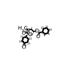 CN(CCOC(=O)c1ccccc1)S(=O)(=O)c1ccc(Cl)cc1